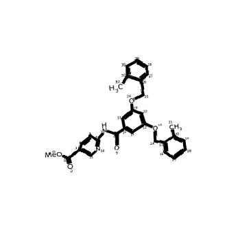 COC(=O)c1ccc(NC(=O)c2cc(OCc3ccccc3C)cc(OCc3ccccc3C)c2)nc1